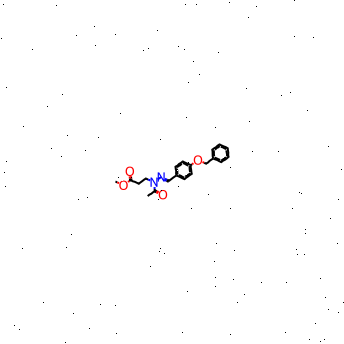 COC(=O)CCN(N=Cc1ccc(OCc2ccccc2)cc1)C(C)=O